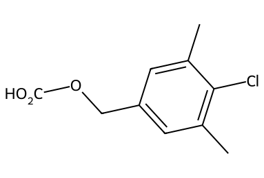 Cc1cc(COC(=O)O)cc(C)c1Cl